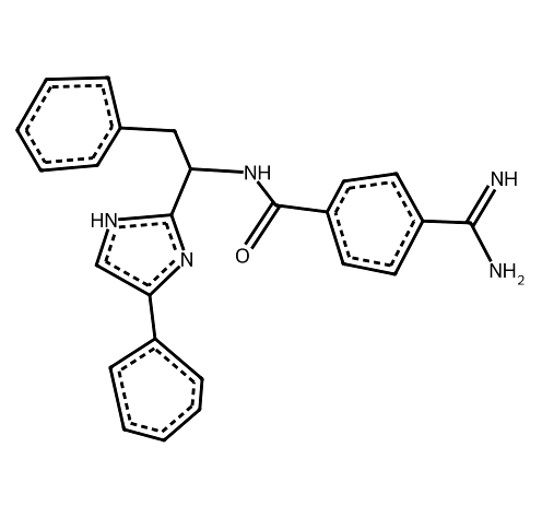 N=C(N)c1ccc(C(=O)NC(Cc2ccccc2)c2nc(-c3ccccc3)c[nH]2)cc1